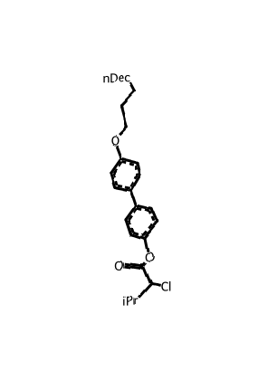 CCCCCCCCCCCCCOc1ccc(-c2ccc(OC(=O)C(Cl)C(C)C)cc2)cc1